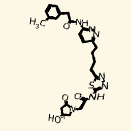 Cc1cccc(CC(=O)Nc2ccc(CCCCc3nnc(NC(=O)CN4C[C@@H](O)CC4=O)s3)nn2)c1